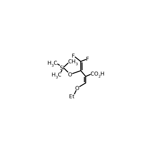 CCOC=C(C(=O)O)C(O[Si](C)(C)C)=C(F)F